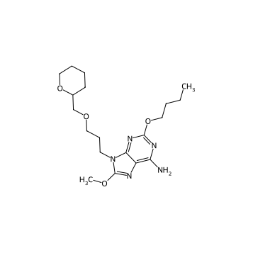 CCCCOc1nc(N)c2nc(OC)n(CCCOCC3CCCCO3)c2n1